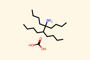 CCCCC(CCCC)C(N)(CCCC)CCCC.O=C(O)O